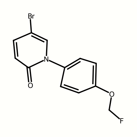 O=c1ccc(Br)cn1-c1ccc(OCF)cc1